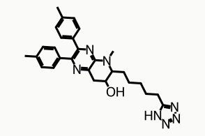 Cc1ccc(-c2nc3c(nc2-c2ccc(C)cc2)N(C)C(CCCCCc2nnn[nH]2)C(O)C3)cc1